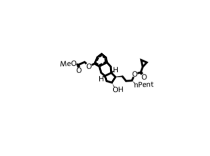 CCCCC[C@H](CC[C@@H]1[C@H]2Cc3cccc(OCC(=O)OC)c3C[C@H]2C[C@H]1O)OC(=O)C1CC1